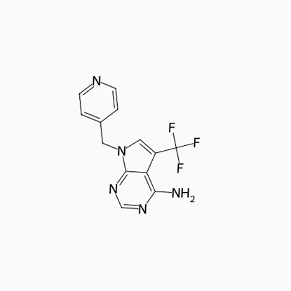 Nc1ncnc2c1c(C(F)(F)F)cn2Cc1ccncc1